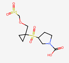 O=C(O)N1CCC(S(=O)(=O)C2(COC[SH](=O)=O)CC2)C1